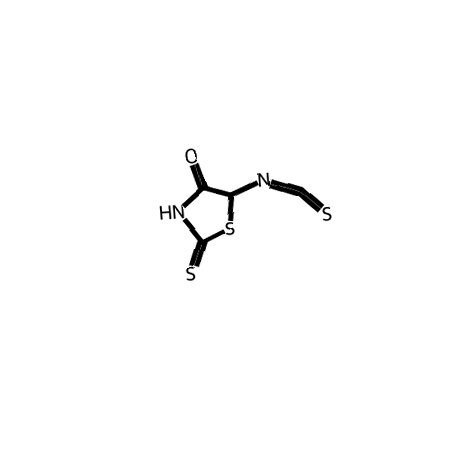 O=C1NC(=S)SC1N=C=S